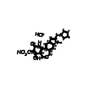 Cl.Cn1c(CN2CCCC2)cc2cc3c(cc21)COCc1c-3[nH]c(=O)c(C(=O)O)c1O